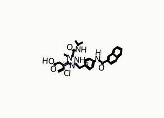 C=C(Cl)/C(CC(=O)O)=C(\N=C(/N)Cc1ccc(NC(=O)c2ccc3ccccc3c2)cc1)N(C)CC(=O)NC(C)C